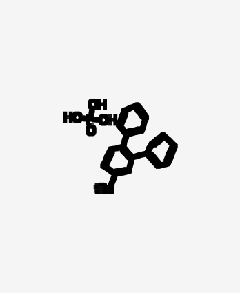 CC(C)(C)c1ccc(-c2ccccc2)c(-c2ccccc2)c1.O=P(O)(O)O